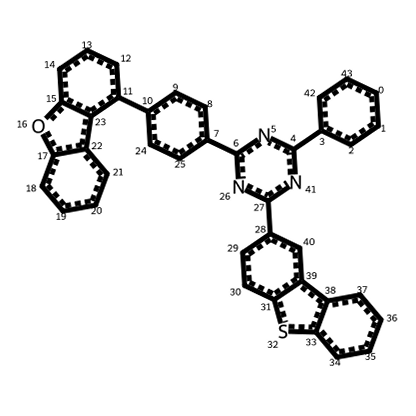 c1ccc(-c2nc(-c3ccc(-c4cccc5oc6ccccc6c45)cc3)nc(-c3ccc4sc5ccccc5c4c3)n2)cc1